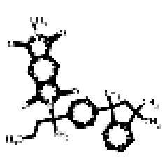 CCCC(N)(c1ccc(C2(C)CC(C)(C)c3ccccc32)cc1)n1c(=O)c2cc3c(=O)n(C)c(=O)c3cc2c1=O